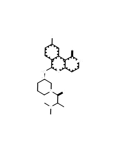 CC(C(=O)N1CCC[C@@H](Nc2nc3cc[nH]c(=O)c3c3cc(F)ccc23)C1)N(C)C